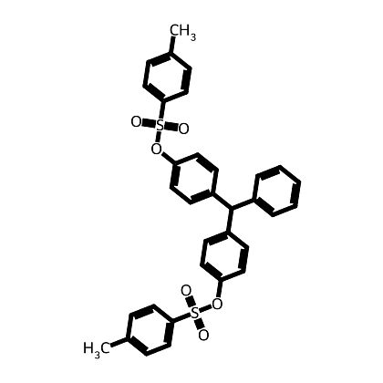 Cc1ccc(S(=O)(=O)Oc2ccc(C(c3ccccc3)c3ccc(OS(=O)(=O)c4ccc(C)cc4)cc3)cc2)cc1